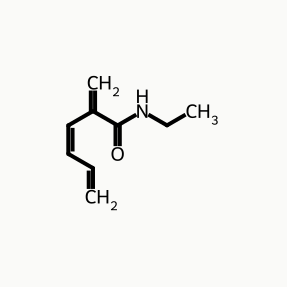 C=C/C=C\C(=C)C(=O)NCC